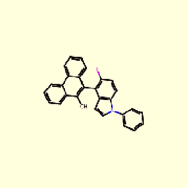 Cc1c(-c2c(I)ccc3c2ccn3-c2ccccc2)c2ccccc2c2ccccc12